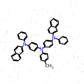 Cc1ccc(N(c2ccc(N(c3ccccc3)c3ccc4ccccc4c3)cc2)c2ccc(N(c3ccccc3)c3ccc4ccccc4c3)cc2)cc1